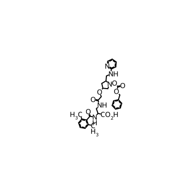 Cc1cccc(C)c1C(=O)NC(CNC(=O)COC1CC(CNc2ccccn2)N(OC(=O)OCc2ccccc2)C1)C(=O)O